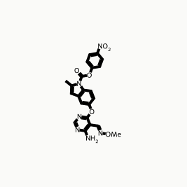 CO/N=C/c1c(N)ncnc1Oc1ccc2c(c1)cc(C)n2C(=O)Oc1ccc([N+](=O)[O-])cc1